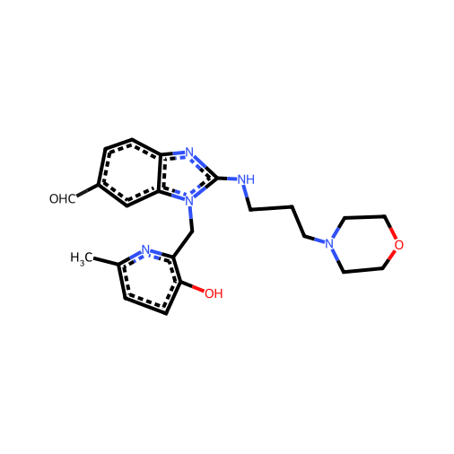 Cc1ccc(O)c(Cn2c(NCCCN3CCOCC3)nc3ccc(C=O)cc32)n1